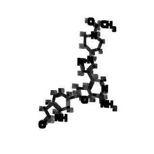 CC(=O)N1CCC(n2cc(-c3cnc(N)c4oc(-c5ccc6c(c5)NC(=O)C6)cc34)cn2)CC1